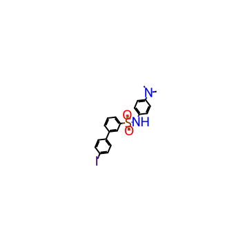 CN(C)c1ccc(NS(=O)(=O)c2cccc(-c3ccc(I)cc3)c2)cc1